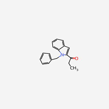 CCC(=O)c1cc2ccccc2n1Cc1ccccc1